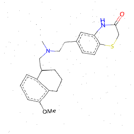 COc1cccc2c1CCCC2CN(C)CCc1ccc2c(c1)NC(=O)CS2